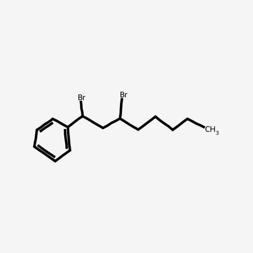 CCCCCC(Br)CC(Br)c1ccccc1